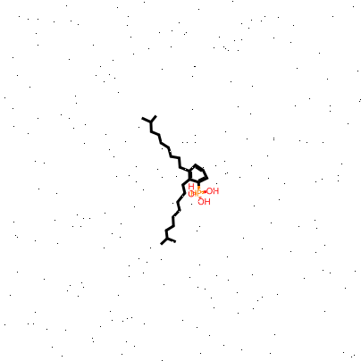 CC(C)CCCCCCCc1cccc([PH](O)(O)O)c1CCCCCCCC(C)C